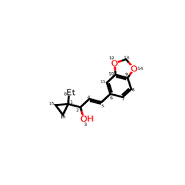 CCC1(C(O)C=Cc2ccc3c(c2)OCO3)CC1